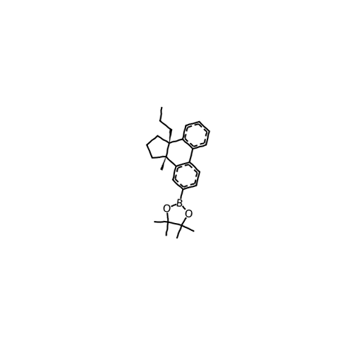 CCC[C@]12CCC[C@@]1(C)c1cc(B3OC(C)(C)C(C)(C)O3)ccc1-c1ccccc12